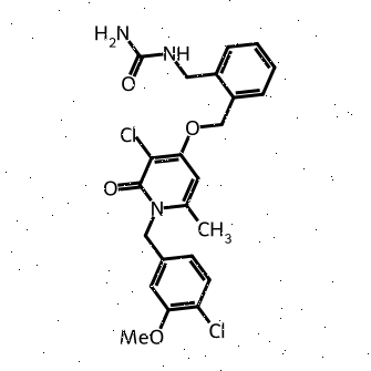 COc1cc(Cn2c(C)cc(OCc3ccccc3CNC(N)=O)c(Cl)c2=O)ccc1Cl